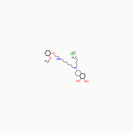 CCCCN(CCCCCCNCCOc1ccccc1OC)[C@H]1CCc2c(ccc(O)c2O)C1.Cl.Cl